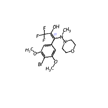 COc1cc(/C(=C(/O)C(F)(F)F)N(C)N2CCOCC2)cc(OC)c1Br